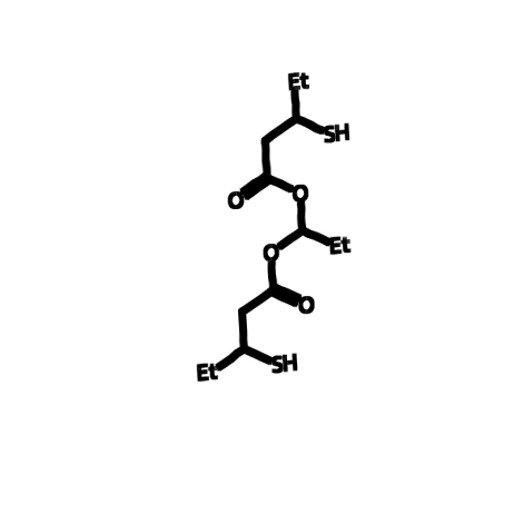 CCC(S)CC(=O)OC(CC)OC(=O)CC(S)CC